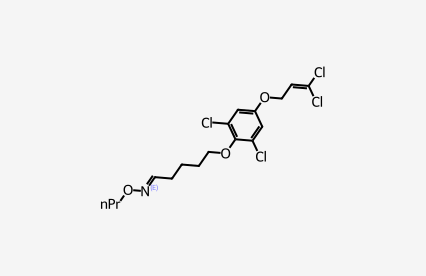 CCCO/N=C/CCCCOc1c(Cl)cc(OCC=C(Cl)Cl)cc1Cl